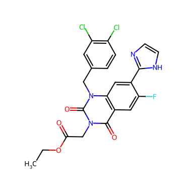 CCOC(=O)Cn1c(=O)c2cc(F)c(-c3ncc[nH]3)cc2n(Cc2ccc(Cl)c(Cl)c2)c1=O